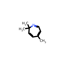 CC1=CC=NC(C)(C)C=C1